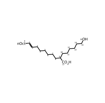 CCCCCCCCC=CCCCCCCC(CCCCCCO)C(=O)O